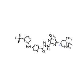 Cc1cc(/C(=C/N)CC(C)C)nc(NNC(=O)c2ccc(Nc3cccc(C(F)(F)F)c3)cn2)n1